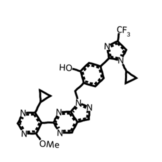 COc1ncnc(C2CC2)c1-c1ncc2cnn(Cc3ccc(-c4nc(C(F)(F)F)cn4C4CC4)cc3O)c2n1